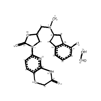 CN(CC1CN(c2ccc3c(n2)NC(=O)CO3)C(=O)O1)C1Cc2cccc(Cl)c2C1.O=CO